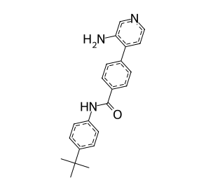 CC(C)(C)c1ccc(NC(=O)c2ccc(-c3ccncc3N)cc2)cc1